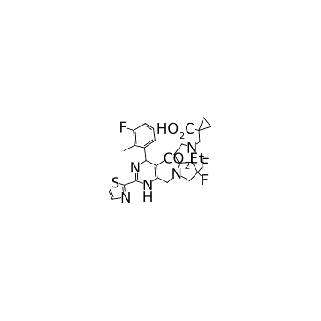 CCOC(=O)C1=C(CN2CC(F)(F)C3C2CCN3CC2(C(=O)O)CC2)NC(c2nccs2)=NC1c1cccc(F)c1C